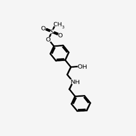 CS(=O)(=O)Oc1ccc(C(O)CNCc2ccccc2)cc1